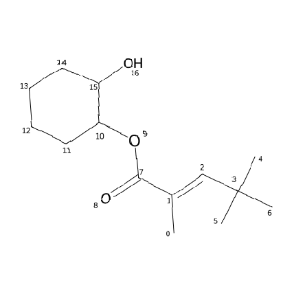 CC(=CC(C)(C)C)C(=O)OC1CCCCC1O